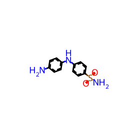 Nc1ccc(Nc2ccc(S(N)(=O)=O)cc2)cc1